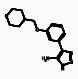 Nc1[nH]nnc1-c1cccc(OCC2CCOCC2)c1